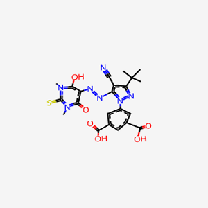 Cn1c(O)c(N=Nc2c(C#N)c(C(C)(C)C)nn2-c2cc(C(=O)O)cc(C(=O)O)c2)c(=O)n(C)c1=S